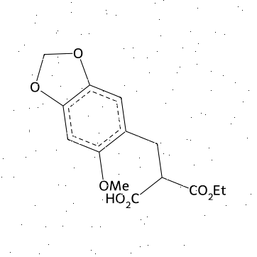 CCOC(=O)C(Cc1cc2c(cc1OC)OCO2)C(=O)O